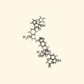 CN(CCCn1nnc2cc(CNC[C@H](O[Si](C)(C)C(C)(C)C)c3ccc(O)c4c3OCC(=O)N4)ccc21)[C@H]1CC[C@H](OC(=O)[C@](O)(c2cccs2)C2CCCC2)CC1